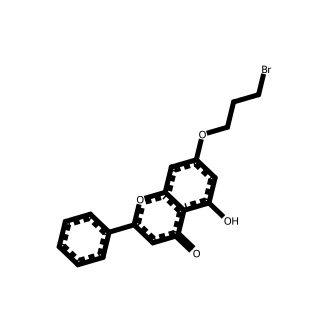 O=c1cc(-c2ccccc2)oc2cc(OCCCBr)cc(O)c12